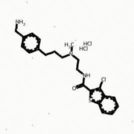 CN(CCCc1ccc(CN)cc1)CCNC(=O)c1sc2ccccc2c1Cl.Cl.Cl